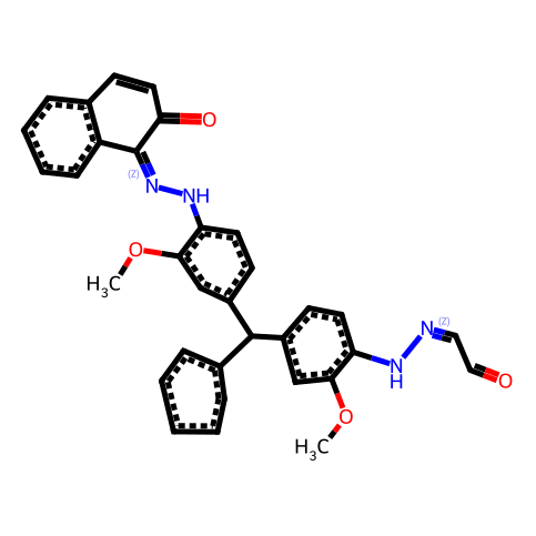 COc1cc(C(c2ccccc2)c2ccc(N/N=C3\C(=O)C=Cc4ccccc43)c(OC)c2)ccc1N/N=C\C=O